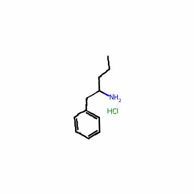 CCCC(N)Cc1ccccc1.Cl